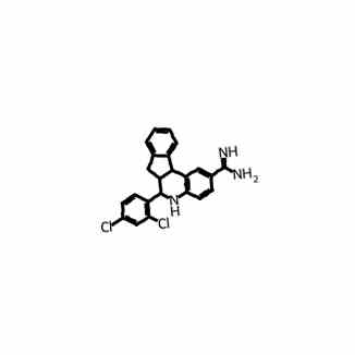 N=C(N)c1ccc2c(c1)C1c3ccccc3CC1C(c1ccc(Cl)cc1Cl)N2